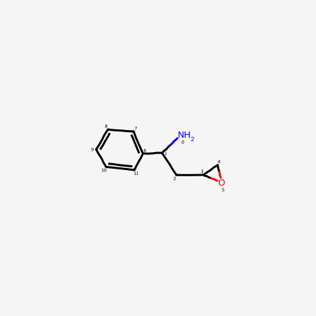 NC(CC1CO1)c1ccccc1